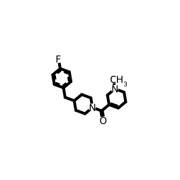 CN1CCC=C(C(=O)N2CCC(Cc3ccc(F)cc3)CC2)C1